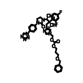 C[C@@H](N1CCN(c2ccc(-n3cnnn3)cc2)C1=O)[C@](O)(C[n+]1cn(COC(=O)OCCCOCc2ccccc2)cn1)c1ccc(F)cc1F